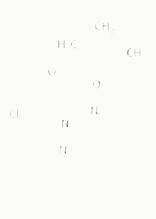 CC(C)(C)OC(=O)N1CC2CCC(C1)N2c1nc2ccccc2cc1Cl